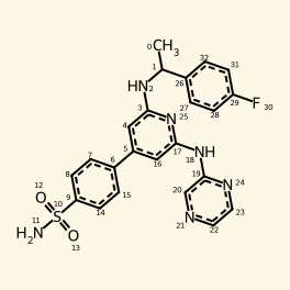 CC(Nc1cc(-c2ccc(S(N)(=O)=O)cc2)cc(Nc2cnccn2)n1)c1ccc(F)cc1